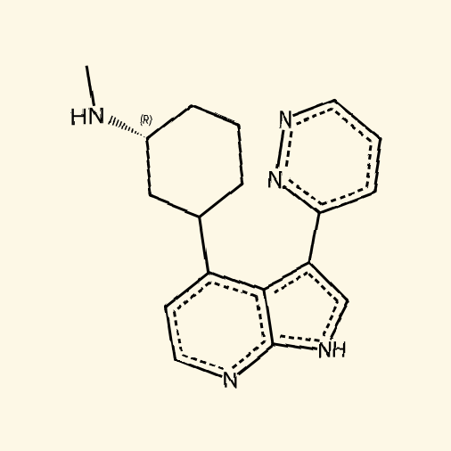 CN[C@@H]1CCCC(c2ccnc3[nH]cc(-c4cccnn4)c23)C1